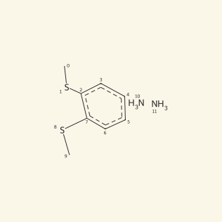 CSc1ccccc1SC.N.N